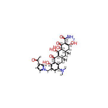 CC(=O)c1ccn(Cc2cc(N(C)C)c3c(c2O)C(=O)C2=C(O)[C@]4(O)C(=O)C(C(N)=O)=C(O)C[C@@H]4C[C@@H]2C3)c1